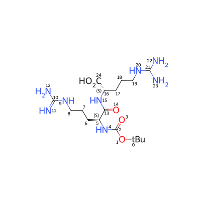 CC(C)(C)OC(=O)N[C@@H](CCCNC(=N)N)C(=O)N[C@@H](CCCNC(N)N)C(=O)O